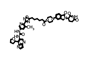 Cc1cc(NC(=O)Nc2cnc3ccnn3c2C2CCCO2)cnc1-c1noc(CCCCCC(=O)N2CCN(c3ccc4c(c3)CN(C3CCC(=O)NC3=O)C4=O)CC2)n1